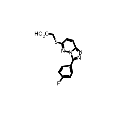 O=C(O)CSc1ccc2nnc(-c3ccc(F)cc3)n2n1